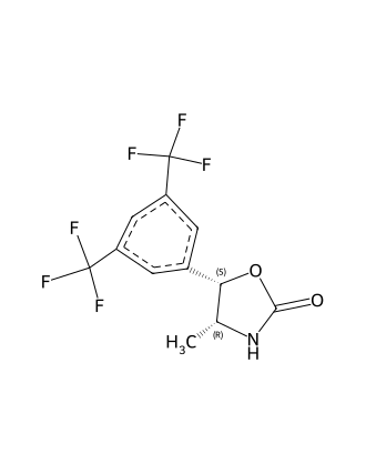 C[C@H]1NC(=O)O[C@H]1c1cc(C(F)(F)F)cc(C(F)(F)F)c1